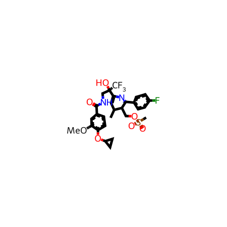 COc1cc(C(=O)NCC(O)(C2=CC(C)C(COS(C)(=O)=O)C(c3ccc(F)cc3)=N2)C(F)(F)F)ccc1OC1CC1